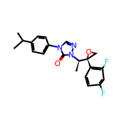 CC(C)c1ccc(-n2cnn([C@H](C)[C@@]3(c4ccc(F)cc4F)CO3)c2=O)cc1